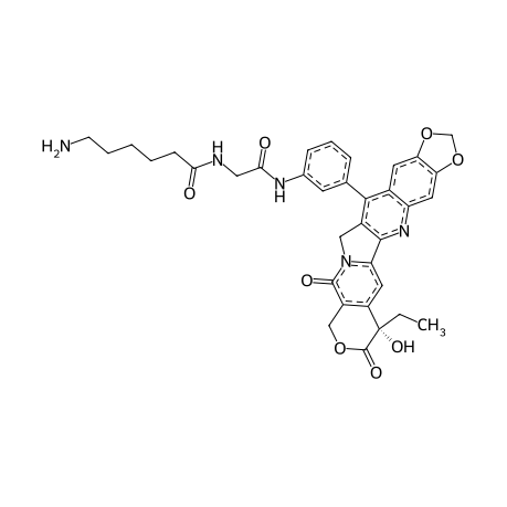 CC[C@@]1(O)C(=O)OCc2c1cc1n(c2=O)Cc2c-1nc1cc3c(cc1c2-c1cccc(NC(=O)CNC(=O)CCCCCN)c1)OCO3